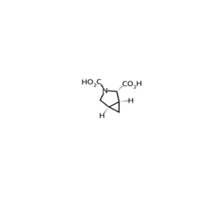 O=C(O)[C@@H]1[C@H]2C[C@H]2CN1C(=O)O